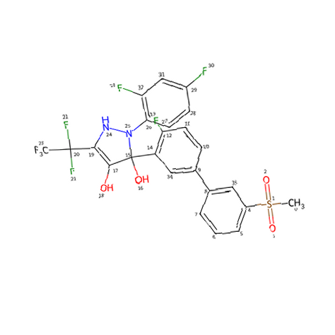 CS(=O)(=O)c1cccc(-c2ccc(F)c(C3(O)C(O)=C(C(F)(F)C(F)(F)F)NN3c3ccc(F)cc3F)c2)c1